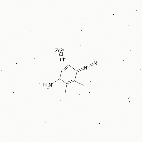 CC1=C(C)C(N)C=CC1=[N+]=[N-].[Cl-].[Cl-].[Zn+2]